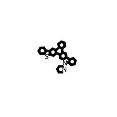 c1ccc(-n2c3ccccc3c3cc4c5ccccc5c5cc6c(cc5c4cc32)sc2ccccc26)nc1